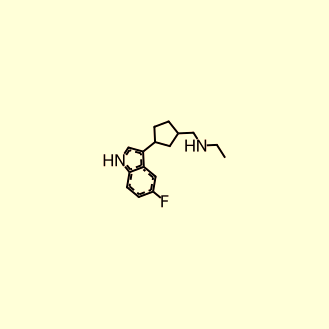 CCNCC1CCC(c2c[nH]c3ccc(F)cc23)C1